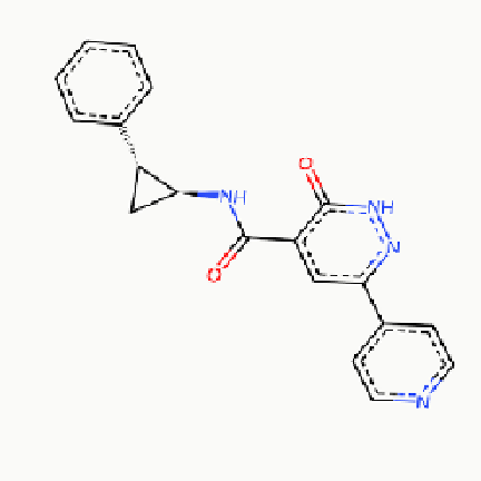 O=C(N[C@H]1C[C@@H]1c1ccccc1)c1cc(-c2ccncc2)n[nH]c1=O